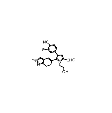 Cn1cc2c(n1)CCC(c1c(-c3ccc(C#N)c(F)c3)cc(C=O)n1CCO)=C2